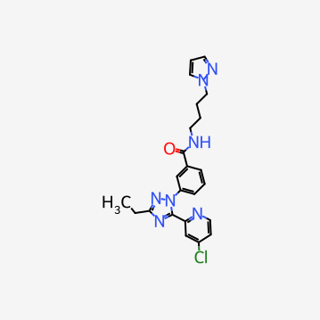 CCc1nc(-c2cc(Cl)ccn2)n(-c2cccc(C(=O)NCCCCn3cccn3)c2)n1